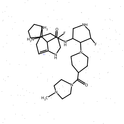 CN1CCN(C(=O)C2CCN(C3C(F)CNCC3NC(=O)C(/C3=C\CC4(CCCC4)CC(F)CN3)C(N)N)CC2)CC1